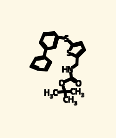 CC(C)(C)OC(=O)NCc1ccc(Sc2cccc(-c3ccccc3)c2)s1